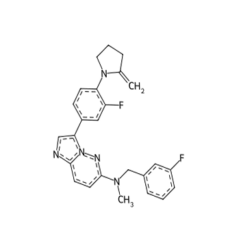 C=C1CCCN1c1ccc(-c2cnc3ccc(N(C)Cc4cccc(F)c4)nn23)cc1F